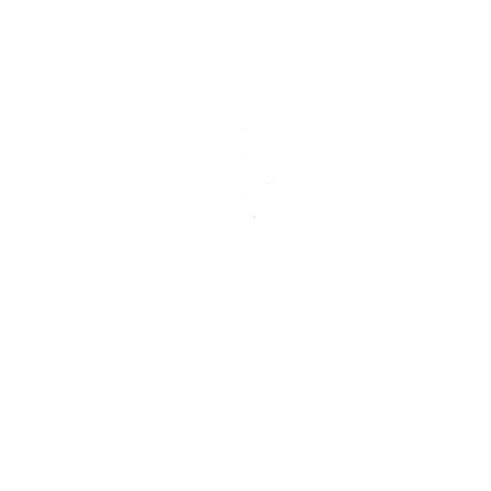 CCCCCCCCCC/C(C(=O)OCCCC)=C(\C)C(=O)OCCCC